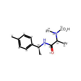 Cc1ccc([C@H](C)NC(=O)C(C(C)C)N(C(=O)O)C(C)C)cc1